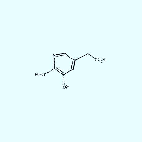 COc1ncc(CC(=O)O)cc1O